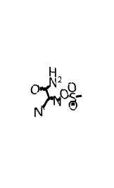 CS(=O)(=O)O/N=C(/C#N)C(N)=O